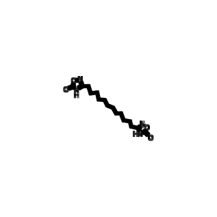 O=c1[nH]c(CCCCCCCCCCCCc2noc(=O)[nH]2)no1